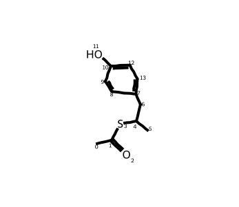 CC(=O)SC(C)Cc1ccc(O)cc1